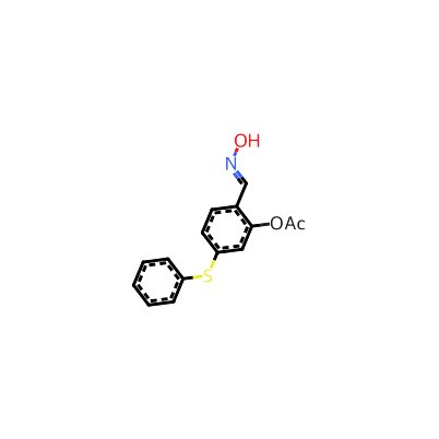 CC(=O)Oc1cc(Sc2ccccc2)ccc1C=NO